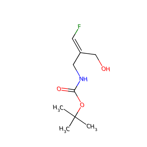 CC(C)(C)OC(=O)NC/C(=C/F)CO